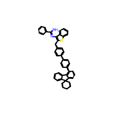 N/C(=N\c1c(Cc2ccc(-c3ccc(-c4cccc5c4-c4ccccc4C54CCCCC4)cc3)cc2)sc2ccccc12)c1ccccc1